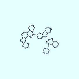 c1ccc(-c2nc(-n3c4ccc(-c5nc6c(ccc7sc8ccccc8c76)c6ccccc56)cc4c4ccncc43)nc3ccccc23)cc1